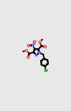 COC(=O)c1nn(Cc2ccc(Br)cc2)c(C(=O)OC)c1[N+](=O)[O-]